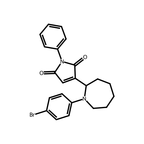 O=C1C=C(C2CCCCCN2c2ccc(Br)cc2)C(=O)N1c1ccccc1